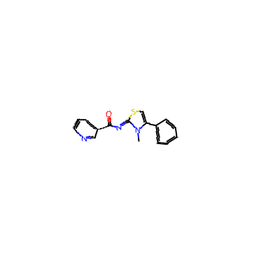 Cn1c(-c2ccccc2)cs/c1=N\C(=O)c1cccnc1